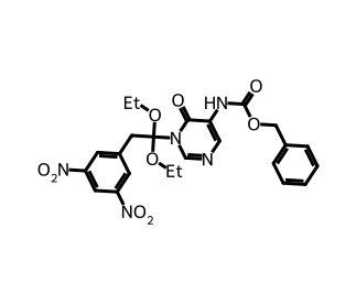 CCOC(Cc1cc([N+](=O)[O-])cc([N+](=O)[O-])c1)(OCC)n1cncc(NC(=O)OCc2ccccc2)c1=O